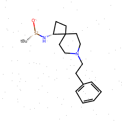 CC(C)(C)[S@+]([O-])N[C@@H]1CCC12CCN(CCc1ccccc1)CC2